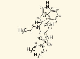 CCCN1C[C@@H](NS(=O)(=O)N(CC)CC)C[C@@H]2c3cccc4[nH]cc(c34)C[C@H]21